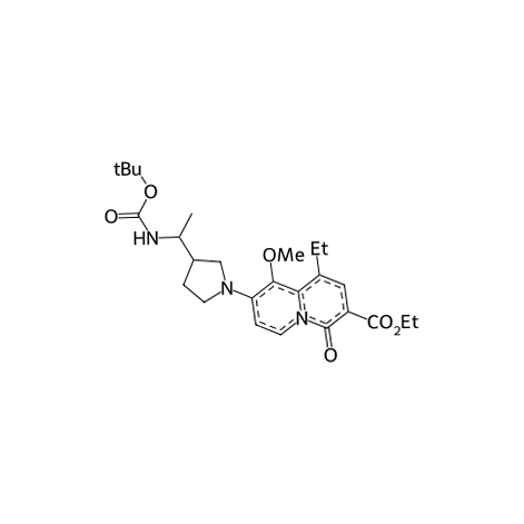 CCOC(=O)c1cc(CC)c2c(OC)c(N3CCC(C(C)NC(=O)OC(C)(C)C)C3)ccn2c1=O